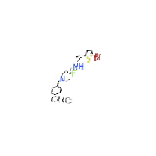 O=Cc1ccc(CN2CCC(F)(CNC3CC3c3ccc(Br)s3)CC2)cc1